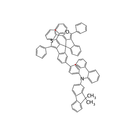 CC1(C)c2ccccc2-c2ccc(N(c3ccc(-c4ccc5c(c4)C4(c6ccccc6-c6c(-c7ccccc7)oc(-c7ccccc7)c64)c4c(-c6ccccc6)sc(-c6ccccc6)c4-5)cc3)c3ccccc3-c3ccccc3)cc21